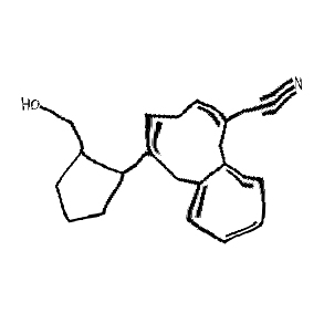 N#Cc1ccc(C2CCCC2CO)c2ccccc12